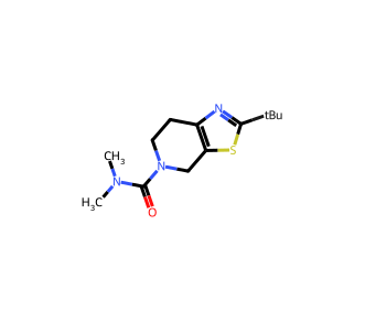 CN(C)C(=O)N1CCc2nc(C(C)(C)C)sc2C1